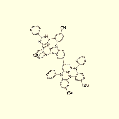 CC(C)(C)c1ccc2c(c1)B1c3cc(C(C)(C)C)ccc3N(c3ccccc3)c3cc(-c4ccc5c(c4)c4cc(C(C)(C)C)ccc4n5-c4ccc(C#N)cc4-c4nc(-c5ccccc5)nc(-c5ccccc5)n4)cc(c31)N2c1ccccc1